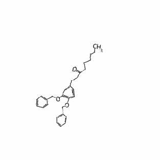 CCCCCCC(=O)CCc1ccc(OCc2ccccc2)c(OCc2ccccc2)c1